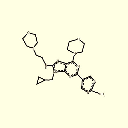 Nc1ncc(-c2nc(N3CCOCC3)c3nc(NCCN4CCOCC4)n(CC4CC4)c3n2)cn1